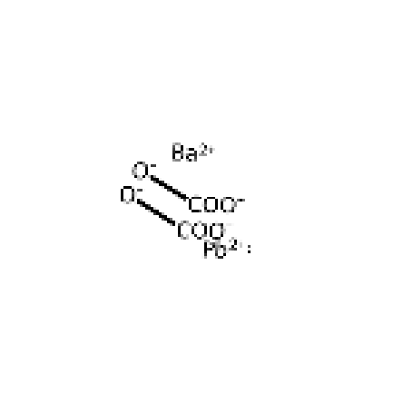 O=C([O-])[O-].O=C([O-])[O-].[Ba+2].[Pb+2]